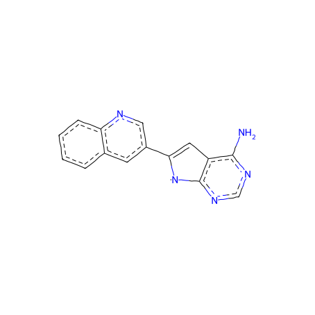 Nc1ncnc2c1C=C(c1cnc3ccccc3c1)[N]2